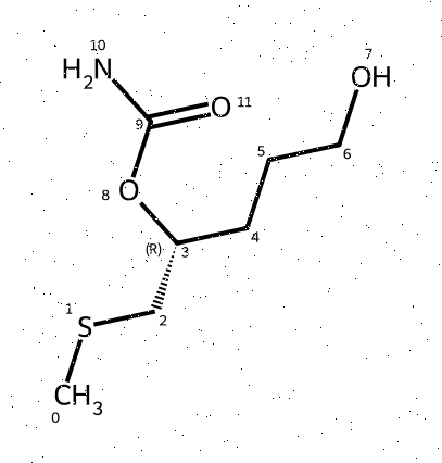 CSC[C@@H](CCCO)OC(N)=O